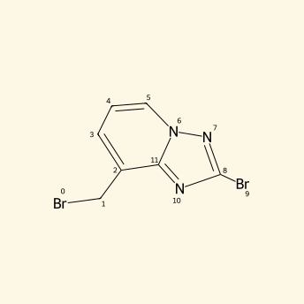 BrCc1cccn2nc(Br)nc12